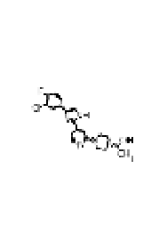 CC(O)N1CCN(c2cc(-c3nc(-c4ccc(F)c(Cl)c4)c[nH]3)ccn2)CC1